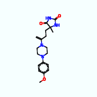 C=C(CCC1(C)NC(=O)NC1=O)N1CCN(c2ccc(OC)cc2)CC1